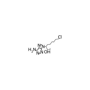 C[C@@H](O)C(CCCCCCCl)n1cnc2c(N)ncnc21